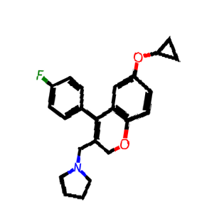 Fc1ccc(C2=C(CN3CCCC3)COc3ccc(OC4CC4)cc32)cc1